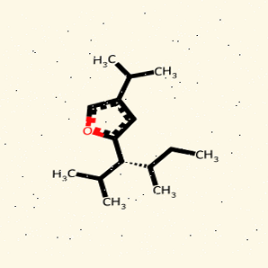 CCC(C)[C@@H](c1cc(C(C)C)co1)C(C)C